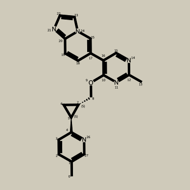 Cc1ccc([C@H]2C[C@@H]2COc2nc(C)ncc2-c2ccc3nccn3c2)nc1